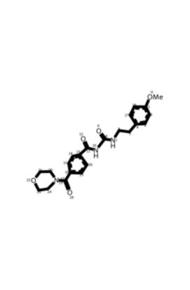 COc1ccc(CCNC(=O)NC(=O)c2ccc(C(=O)N3CCOCC3)cc2)cc1